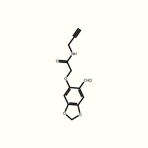 C#CCNC(=O)COc1cc2c(cc1C=O)OCO2